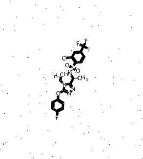 CCn1c(Oc2ccc(F)cc2)nnc1[C@@H](C)NS(=O)(=O)c1ccc(C(F)(F)F)cc1Cl